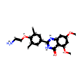 COc1cc(OC)c2c(=O)[nH]c(-c3cc(C)c(OC=CN)c(C)c3)nc2c1